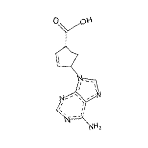 Nc1ncnc2c1ncn2C1C=C[C@H](C(=O)O)C1